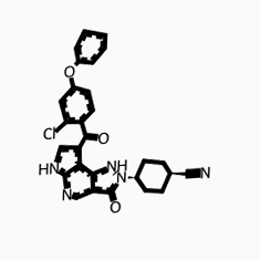 N#C[C@H]1CC[C@H](n2[nH]c3c(cnc4[nH]cc(C(=O)c5ccc(Oc6ccccc6)cc5Cl)c43)c2=O)CC1